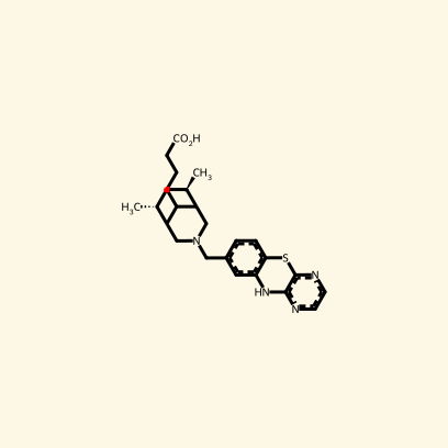 C[C@@H]1C[C@@H](C)C2CN(Cc3ccc4c(c3)Nc3nccnc3S4)CC1C2CCCC(=O)O